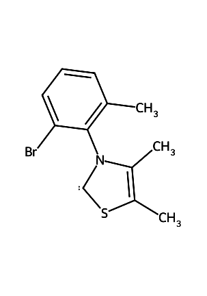 CC1=C(C)N(c2c(C)cccc2Br)[C]S1